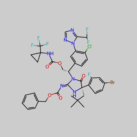 CC(C)(C)C[C@]1(c2ccc(Br)cc2F)N/C(=N\C(=O)OCc2ccccc2)N([C@H](COC(=O)NC2(C(F)(F)F)CC2)c2ccc(Cl)c(-n3ncnc3C(F)F)c2)C1=O